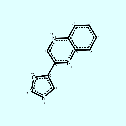 c1ccc2nc(-c3cnno3)cnc2c1